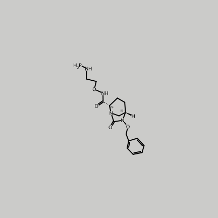 O=C(NOCCNP)[C@@H]1CC[C@H]2CN1C(=O)N2OCc1ccccc1